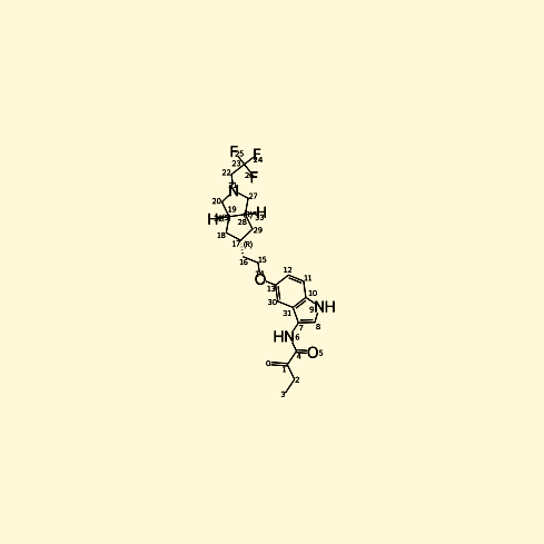 C=C(CC)C(=O)Nc1c[nH]c2ccc(OCC[C@@H]3C[C@@H]4CN(CC(F)(F)F)C[C@@H]4C3)cc12